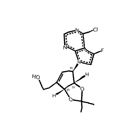 CC1(C)O[C@@H]2[C@H](O1)C(CO)=C[C@H]2n1cc(F)c2c(Cl)ncnc21